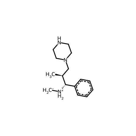 [CH2-][NH2+][C@@H](c1ccccc1)[C@@H](C)CN1CCNCC1